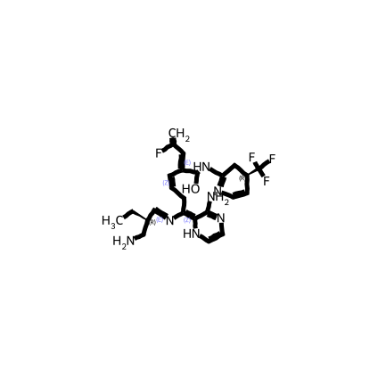 C=C(F)/C=C(\C=C/CC(/N=C/[C@H](CC)CN)=C1/NC=CN=C1N)C(O)NC1=NC=C[C@H](C(F)(F)F)C1